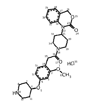 COc1cc(OC2CCNCC2)ccc1CC(=O)N1CCC(N2C(=O)OCc3ccccc32)CC1.Cl